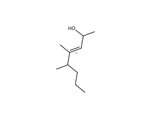 CCCC(C)/C(C)=C/C(C)O